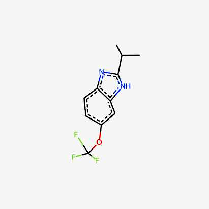 CC(C)c1nc2ccc(OC(F)(F)F)cc2[nH]1